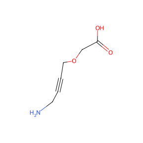 NCC#CCOCC(=O)O